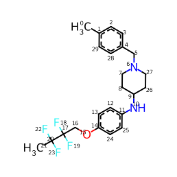 Cc1ccc(CN2CCC(Nc3ccc(OCC(F)(F)C(C)(F)F)cc3)CC2)cc1